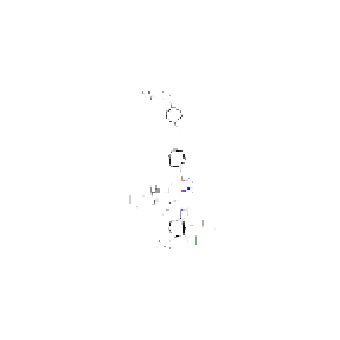 COc1ccc(COc2ccc(-c3nnc([C@H](Nc4ccc(C#N)c(Cl)c4C)[C@H](C)O[Si](C)(C)C(C)(C)C)o3)cc2)cc1